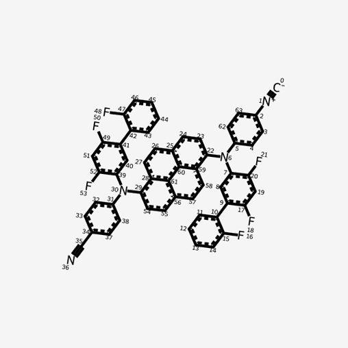 [C-]#[N+]c1ccc(N(c2cc(-c3ccccc3F)c(F)cc2F)c2ccc3ccc4c(N(c5ccc(C#N)cc5)c5cc(-c6ccccc6F)c(F)cc5F)ccc5ccc2c3c54)cc1